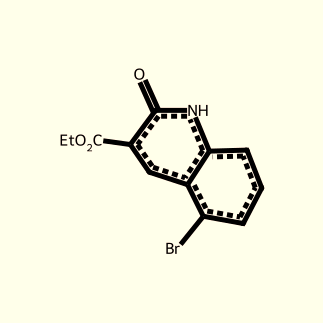 CCOC(=O)c1cc2c(Br)cccc2[nH]c1=O